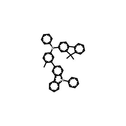 Cc1ccc(N(c2ccccc2)c2ccc3c(c2)C(C)(C)c2ccccc2-3)cc1-c1ccc2c(c1)c1ccccc1n2-c1ccccc1